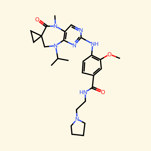 COc1cc(C(=O)NCCN2CCCC2)ccc1Nc1ncc2c(n1)N(C(C)C)CC1(CC1)C(=O)N2C